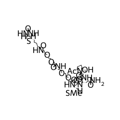 CSCC[C@H](NC(=O)COCCOCCNC(=O)COCCOCCNC(=O)CCCC[C@@H]1SC[C@@H]2NC(=O)N[C@@H]21)C(=O)N[C@@H](CCC(N)=O)C(=O)N[C@@H](CO)C(=O)N1CCC[C@H]1C(C)=O